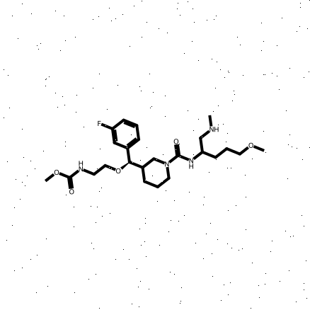 CNCC(CCCOC)NC(=O)N1CCCC([C@@H](OCCNC(=O)OC)c2cccc(F)c2)C1